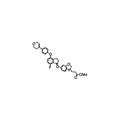 COC(=O)CC[C@@H]1COc2cc(O[C@@H]3CCc4c(Oc5ccc(C6=CCOCC6)cc5)ccc(F)c43)ccc21